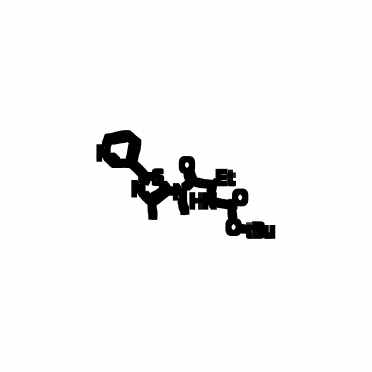 CC[C@H](NC(=O)OC(C)(C)C)C(=O)N(C)c1sc(-c2cccnc2)nc1C